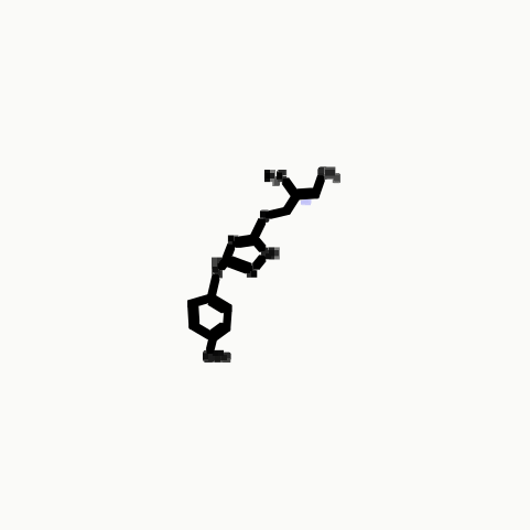 C/C=C(\C)CSc1nc(Nc2ccc(OC)cc2)n[nH]1